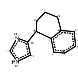 c1ccc2c(c1)CCCC2c1c[nH]cn1